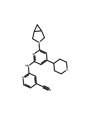 N#Cc1ccnc(Nc2cc(C3CCOCC3)cc(N3CC4CC4C3)n2)c1